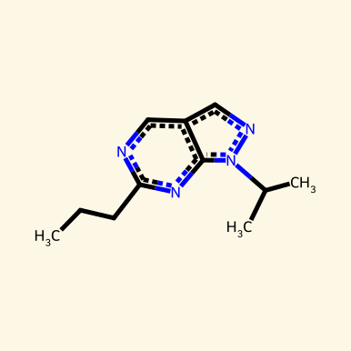 CCCc1ncc2cnn(C(C)C)c2n1